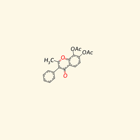 CC(=O)Oc1ccc2c(=O)c(-c3ccccc3)c(C)oc2c1OC(C)=O